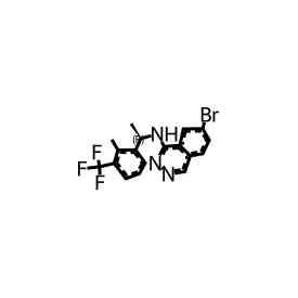 Cc1c([C@@H](C)Nc2nncc3ccc(Br)cc23)cccc1C(F)(F)F